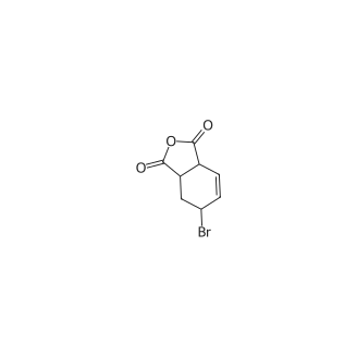 O=C1OC(=O)C2CC(Br)C=CC12